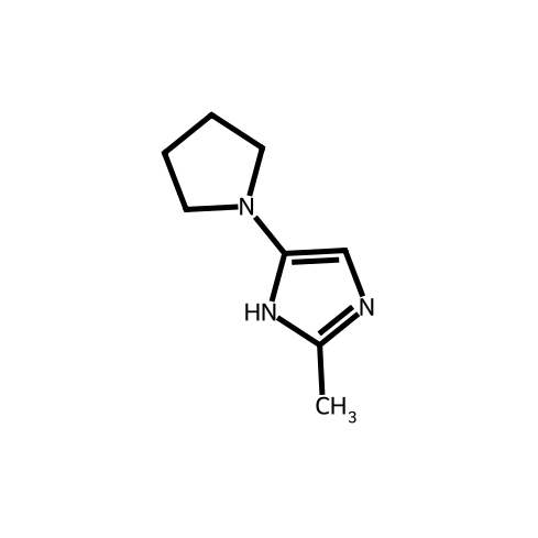 Cc1ncc(N2CCCC2)[nH]1